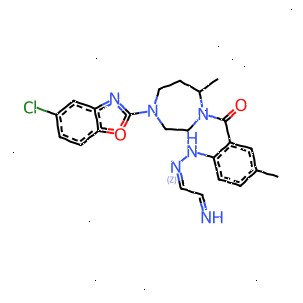 Cc1ccc(N/N=C\C=N)c(C(=O)N2CCN(c3nc4cc(Cl)ccc4o3)CCC2C)c1